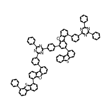 c1ccc(-c2nc(-c3ccccc3)nc(-c3cccc(-c4cccc5oc6c(-c7ccc(-c8nc(-c9ccccc9)nc(-c9cccc(-c%10cccc%11oc%12c(-c%13cccc%14c%13sc%13c(-c%15ccccc%15)cccc%13%14)cccc%12c%10%11)c9)n8)cc7)cc(-c7cccc8sc9ccccc9c78)cc6c45)c3)n2)cc1